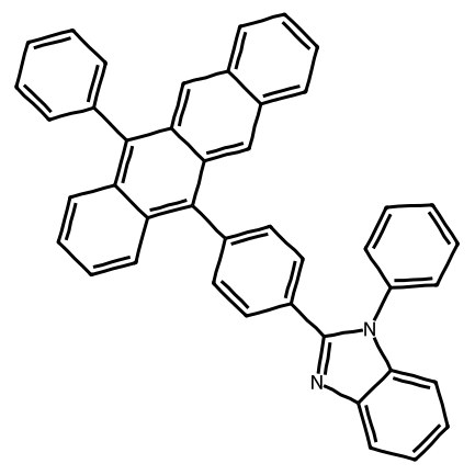 c1ccc(-c2c3ccccc3c(-c3ccc(-c4nc5ccccc5n4-c4ccccc4)cc3)c3cc4ccccc4cc23)cc1